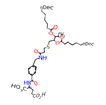 CCCCCCCCCCCCCCCC(=O)OC(C)C(CSCCC(=O)NCc1ccc(C(=O)N[C@@H](CCC(=O)O)C(=O)O)cc1)OC(=O)CCCCCCCCCCCCCCC